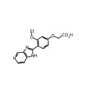 CCOc1cc(OCC(=O)O)ccc1-c1nc2cnccc2[nH]1